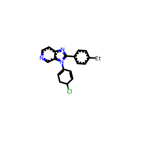 CCc1ccc(-c2nc3ccncc3n2C2=CCC(Cl)C=C2)cc1